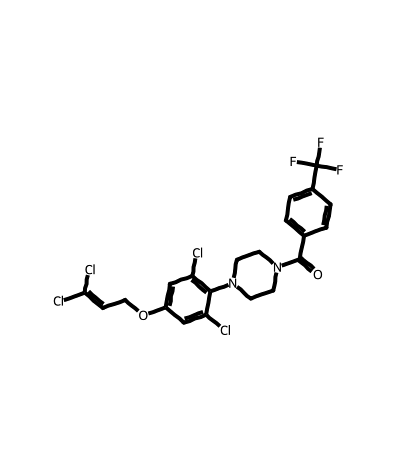 O=C(c1ccc(C(F)(F)F)cc1)N1CCN(c2c(Cl)cc(OCC=C(Cl)Cl)cc2Cl)CC1